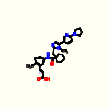 Cc1ccc(NC(=O)C2(Cc3ncc(-c4ccc(N5CCCC5)nc4)n3C)CCCCC2)cc1/C=C/C(=O)O